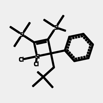 CC(C)(C)CC1(c2ccccc2)C([Si](C)(C)C)=C([Si](C)(C)C)[Si]1(Cl)Cl